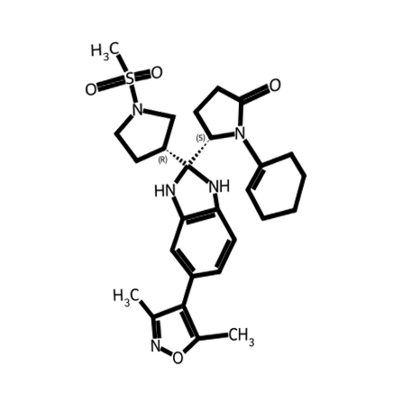 Cc1noc(C)c1-c1ccc2c(c1)NC([C@@H]1CCN(S(C)(=O)=O)C1)([C@@H]1CCC(=O)N1C1=CCCCC1)N2